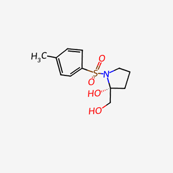 Cc1ccc(S(=O)(=O)N2CCC[C@@]2(O)CO)cc1